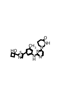 Cc1cc(Nc2nccc(N3CCCC(=O)NC3)n2)cc(-c2cnc(C3(O)CCC3)s2)c1